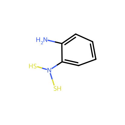 Nc1ccccc1N(S)S